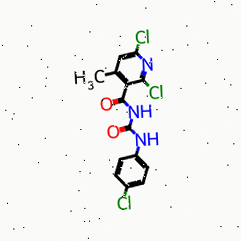 Cc1cc(Cl)nc(Cl)c1C(=O)NC(=O)Nc1ccc(Cl)cc1